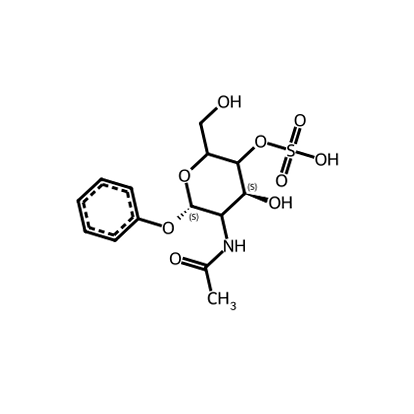 CC(=O)NC1[C@H](Oc2ccccc2)OC(CO)C(OS(=O)(=O)O)[C@H]1O